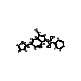 O=S(=O)(c1ccccc1)n1cc(I)c2cc(-c3cccs3)cnc21